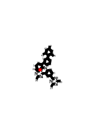 Cc1cc(C)c(-c2ccc3c(c2)c2ccccc2n3-c2ccc(-c3nc(C)nc(C)n3)cc2-c2nc(C)nc(C)n2)c(C)c1